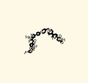 O=C1CCC(c2ccc(C3CCN(CC4CCN(c5ccc(-c6cnc7[nH]cc(C(=O)c8c(F)ccc(NS(=O)(=O)N9CC[C@@H](F)C9)c8F)c7c6)cc5)CC4)CC3)cn2)C(=O)N1